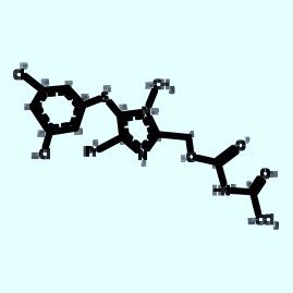 CC(C)c1nc(COC(=O)NC(=O)C(Cl)(Cl)Cl)n(C)c1Sc1cc(Cl)cc(Cl)c1